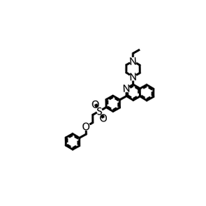 CCN1CCN(c2nc(-c3ccc(S(=O)(=O)CCOCc4ccccc4)cc3)cc3ccccc23)CC1